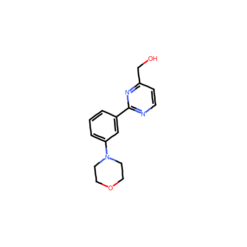 OCc1ccnc(-c2cccc(N3CCOCC3)c2)n1